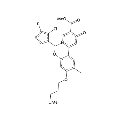 COCCCOc1cc2c(cc1C)-c1cc(=O)c(C(=O)OC)cn1C(c1csc(Cl)c1Cl)O2